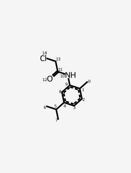 Cc1ccc(C(C)C)cc1NC(=O)CCl